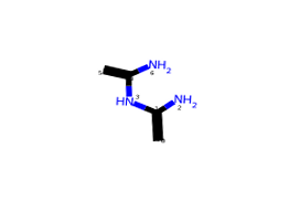 C=C(N)NC(=C)N